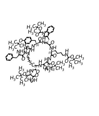 C[C@@H](OC(C)(C)C)[C@H](NC(=O)[C@@H]1CSSC[C@H](NC(=O)[C@H](N)Cc2ccccc2)C(=O)N[C@@H](Cc2ccc(OC(C)(C)C)cc2)C(=O)N[C@H](Cc2cn(C(=O)OC(C)(C)C)c3ccccc23)C(=O)N[C@@H](CCCCNC(=O)OC(C)(C)C)C(=O)N[C@@H]([C@@H](C)OC(C)(C)C)C(=O)N1)C(=O)O